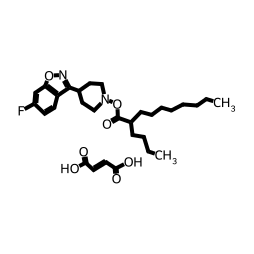 CCCCCCCCC(CCCC)C(=O)ON1CCC(c2noc3cc(F)ccc23)CC1.O=C(O)C=CC(=O)O